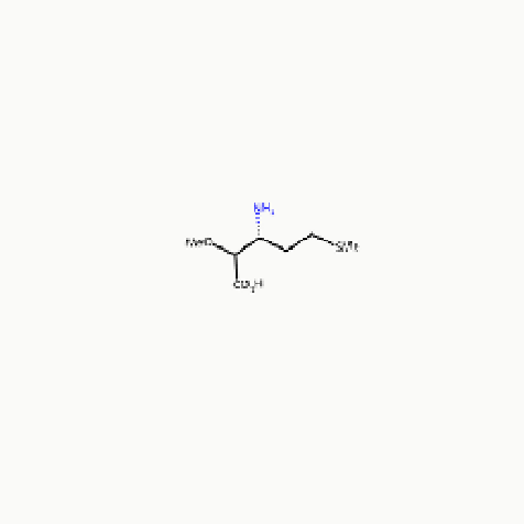 COC(C(=O)O)[C@H](N)CCSC